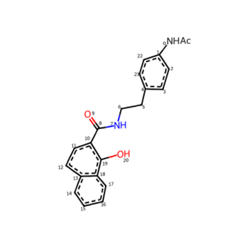 CC(=O)Nc1ccc(CCNC(=O)c2ccc3ccccc3c2O)cc1